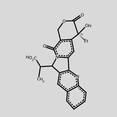 CC[C@@]1(O)C(=O)OCc2c1cc1n(c2=O)C(C(C)C(=O)O)c2cc3ccccc3nc2-1